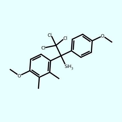 COc1ccc(C([SiH3])(c2ccc(OC)c(C)c2C)C(Cl)(Cl)Cl)cc1